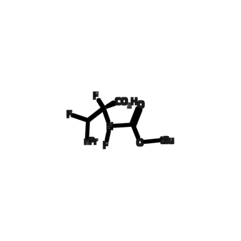 CCCC(F)[C@@](F)(C(=O)O)N(F)C(=O)OC(C)(C)C